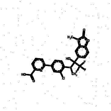 CC(c1ccc(-c2cccc(C(=O)O)n2)cc1Cl)C(O)(c1ccc2oc(=O)n(C)c2c1)C(F)(F)F